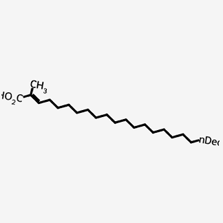 CCCCCCCCCCCCCCCCCCCCCCCCCC/C=C(\C)C(=O)O